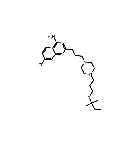 CCC(C)(C)NCCCN1CCN(CCCc2cc(N)c3ccc(Cl)cc3n2)CC1